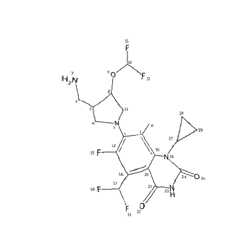 Cc1c(N2CC(CN)C(OC(F)F)C2)c(F)c(C(F)F)c2c(=O)[nH]c(=O)n(C3CC3)c12